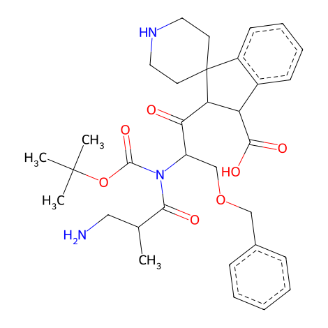 CC(CN)C(=O)N(C(=O)OC(C)(C)C)C(COCc1ccccc1)C(=O)C1C(C(=O)O)c2ccccc2C12CCNCC2